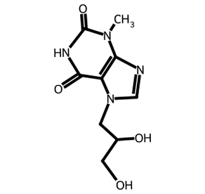 Cn1c(=O)[nH]c(=O)c2c1ncn2CC(O)CO